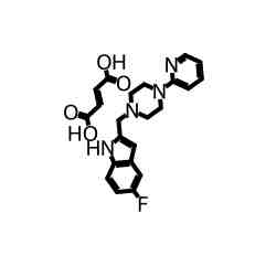 Fc1ccc2[nH]c(CN3CCN(c4ccccn4)CC3)cc2c1.O=C(O)C=CC(=O)O